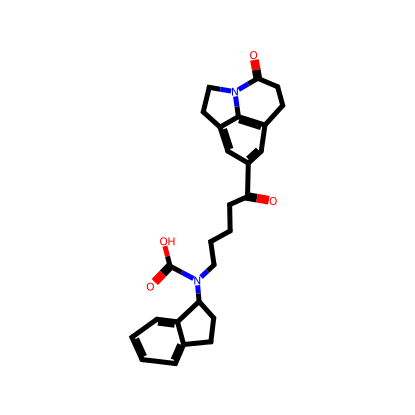 O=C(CCCCN(C(=O)O)C1CCc2ccccc21)c1cc2c3c(c1)CCN3C(=O)CC2